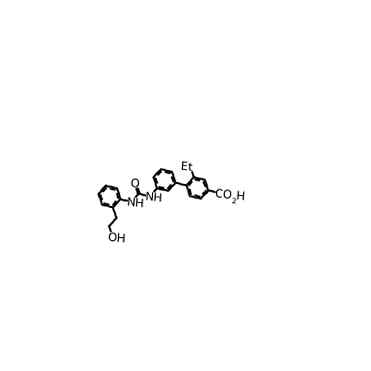 CCc1cc(C(=O)O)ccc1-c1cccc(NC(=O)Nc2ccccc2CCO)c1